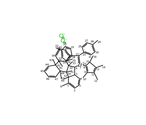 CC1=CC=CC2[CH]([Zr+2]([C]3=C(C)C(C)=C(C)C3C)=[C](c3ccc(C)cc3)c3ccc(C)cc3)C3(C)C4(C)C=CC=CC4(C)C4(C)C=CC=CC4(C)C3(C)C12C.[Cl-].[Cl-]